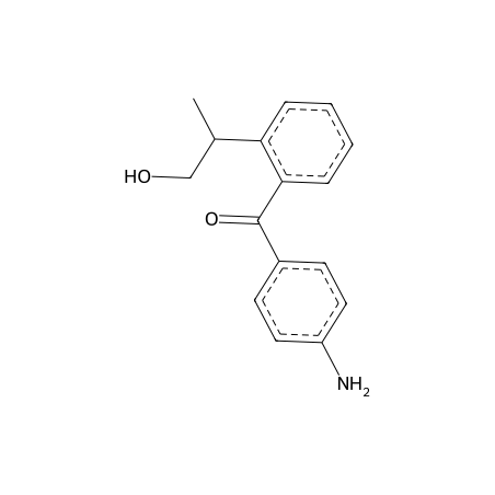 CC(CO)c1ccccc1C(=O)c1ccc(N)cc1